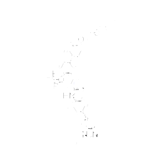 CCCCOCCOc1ccc(-c2ccc(OC(F)(F)F)c(/C=C/C(=O)Nc3ccc(SCc4c(C)ncn4CC)cc3)c2)cc1